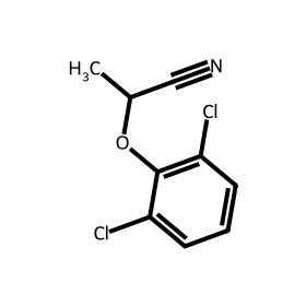 CC(C#N)Oc1c(Cl)cccc1Cl